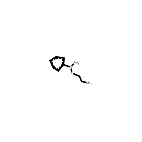 NCCOB(P)c1ccccc1